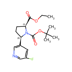 CCOC(=O)[C@@H]1CC[C@H](c2cncc(F)c2)N1C(=O)OC(C)(C)C